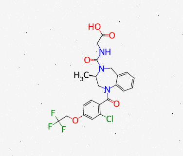 C[C@@H]1CN(C(=O)c2ccc(OCC(F)(F)F)cc2Cl)c2ccccc2CN1C(=O)NCC(=O)O